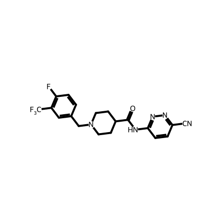 N#Cc1ccc(NC(=O)C2CCN(Cc3ccc(F)c(C(F)(F)F)c3)CC2)nn1